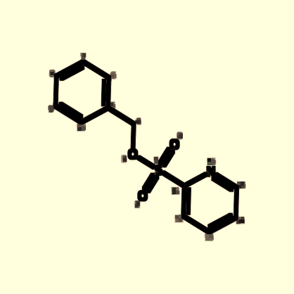 O=S(=O)(OCc1ccccc1)c1ccccn1